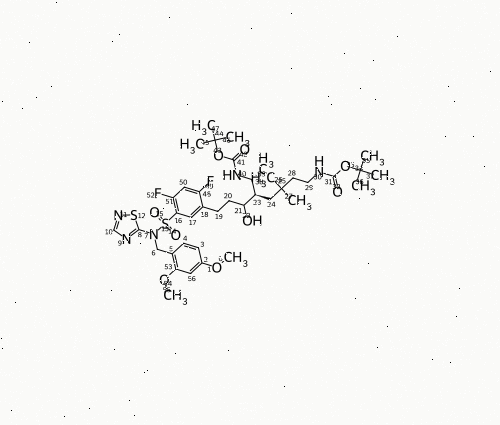 COc1ccc(CN(c2ncns2)S(=O)(=O)c2cc(CCC(O)[C@H](CC(C)(C)CCNC(=O)OC(C)(C)C)[C@@H](C)NC(=O)OC(C)(C)C)c(F)cc2F)c(OC)c1